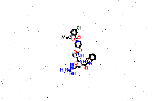 COc1ccc(Cl)cc1S(=O)(=O)N1CCC(OC(=O)N[C@@H](CC(C)C)C(=O)N[C@@H](CCCNC(=N)N)C(=O)c2nc3ccccc3s2)CC1